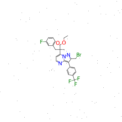 CCOC(=O)C(C)(Cc1cccc(F)c1)c1ccnc2c(-c3ccc(C(F)(F)F)cc3)c(CBr)nn12